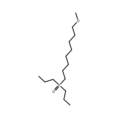 CCCP(=O)(CCC)CCCCCCCCOC